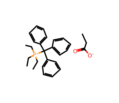 CCC(=O)[O-].CC[P+](CC)(CC)C(c1ccccc1)(c1ccccc1)c1ccccc1